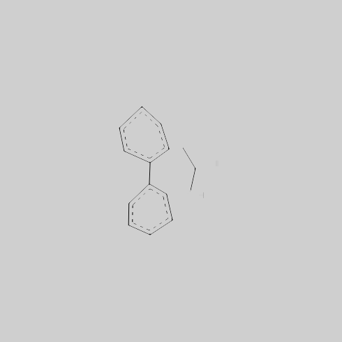 C[CH2][SnH].F.c1ccc(-c2ccccc2)cc1